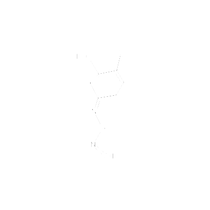 C=NO/N=C1/C=C(C)C(C)=CC1